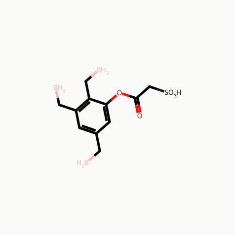 BCc1cc(CB)c(CB)c(OC(=O)CS(=O)(=O)O)c1